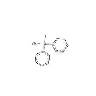 CC(C)(C)[Si](I)(c1ccccc1)c1ccccc1